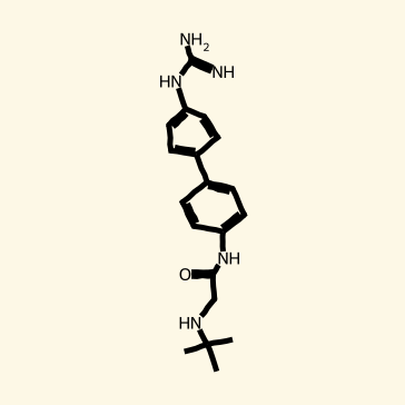 CC(C)(C)NCC(=O)Nc1ccc(-c2ccc(NC(=N)N)cc2)cc1